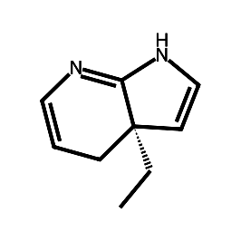 CC[C@@]12C=CNC1=NC=CC2